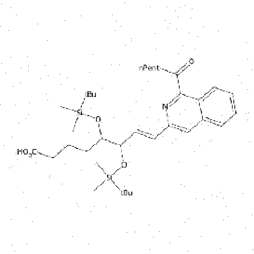 CCCCCC(=O)c1nc(C=CC(O[Si](C)(C)C(C)(C)C)C(CCCC(=O)O)O[Si](C)(C)C(C)(C)C)cc2ccccc12